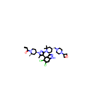 C=CC(=O)N1CC[C@@H](n2nc(N3CC[C@@H](CN4CCN(C5COC5)CC4)CC3(C)C)c(-c3c(Cl)c(Cl)cc4[nH]ncc34)c2C)C[C@H]1C